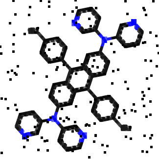 CC(C)(C)c1ccc(-c2c3ccc(N(c4cccnc4)c4cccnc4)cc3c(-c3ccc(C(C)(C)C)cc3)c3ccc(N(c4cccnc4)c4cccnc4)cc23)cc1